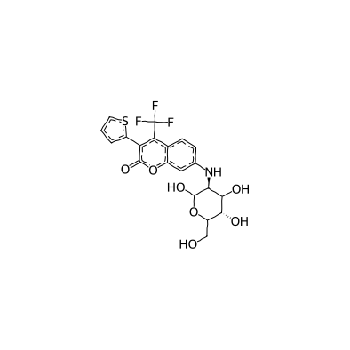 O=c1oc2cc(N[C@@H]3C(O)OC(CO)[C@@H](O)C3O)ccc2c(C(F)(F)F)c1-c1cccs1